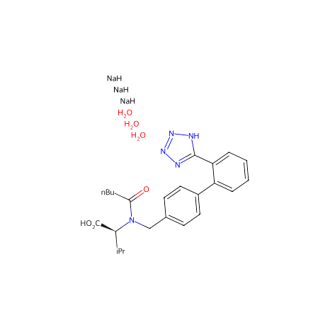 CCCCC(=O)N(Cc1ccc(-c2ccccc2-c2nnn[nH]2)cc1)[C@H](C(=O)O)C(C)C.O.O.O.[NaH].[NaH].[NaH]